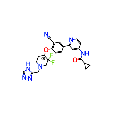 N#Cc1cc(-c2cc(NC(=O)C3CC3)ccn2)ccc1O[C@H]1CCN(Cc2nnc[nH]2)CC1(F)F